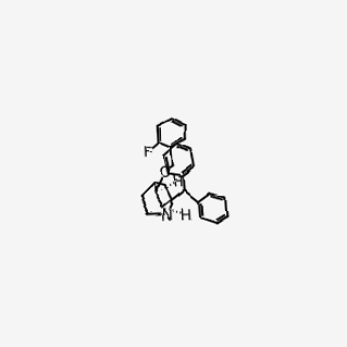 Fc1ccccc1CO[C@@H]1C2CCN(CC2)[C@@H]1C(c1ccccc1)c1ccccc1